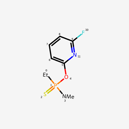 CCP(=S)(NC)Oc1cccc(F)n1